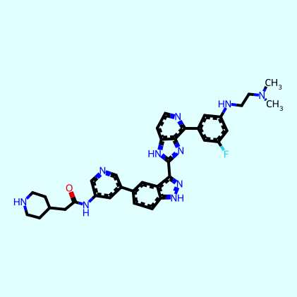 CN(C)CCNc1cc(F)cc(-c2nccc3[nH]c(-c4n[nH]c5ccc(-c6cncc(NC(=O)CC7CCNCC7)c6)cc45)nc23)c1